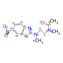 CC(=O)N(C)CCN(C)c1nc2ccc([N+](=O)[O-])cc2s1